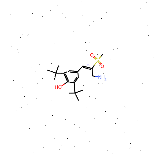 CC(C)(C)c1cc(/C=C(\CN)S(C)(=O)=O)cc(C(C)(C)C)c1O